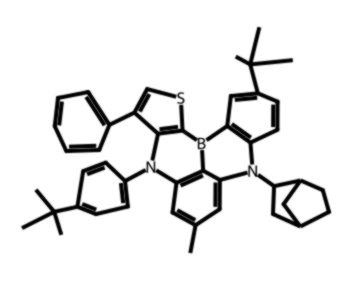 Cc1cc2c3c(c1)N(C1CC4CCC1C4)c1ccc(C(C)(C)C)cc1B3c1scc(-c3ccccc3)c1N2c1ccc(C(C)(C)C)cc1